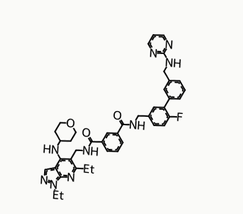 CCc1nc2c(cnn2CC)c(NC2CCOCC2)c1CNC(=O)c1cccc(C(=O)NCc2ccc(F)c(-c3cccc(CNc4ncccn4)c3)c2)c1